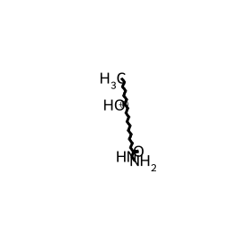 CCCCCC[C@@H](O)CCCCCCCCCCC(=O)NN